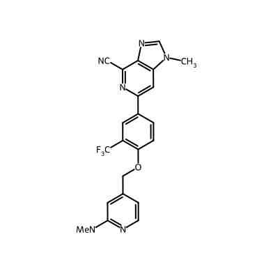 CNc1cc(COc2ccc(-c3cc4c(ncn4C)c(C#N)n3)cc2C(F)(F)F)ccn1